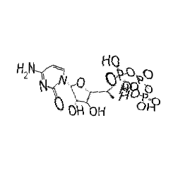 C[C@H](OP(=O)(O)OP(=O)(O)OP(=O)(O)O)[C@H]1O[C@@H](n2ccc(N)nc2=O)[C@@H](O)C1O